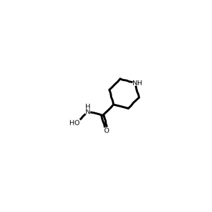 O=C(NO)C1CCNCC1